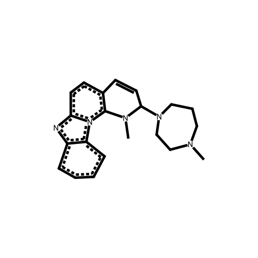 CN1CCCN(C2C=Cc3ccc4nc5ccccc5n4c3N2C)CC1